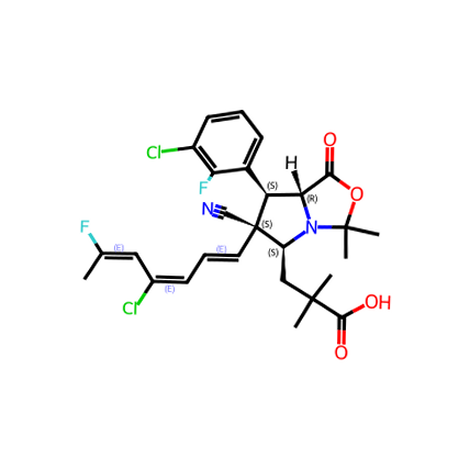 C\C(F)=C/C(Cl)=C\C=C\[C@@]1(C#N)[C@H](CC(C)(C)C(=O)O)N2[C@@H](C(=O)OC2(C)C)[C@@H]1c1cccc(Cl)c1F